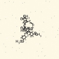 COc1ccc(CN(Cc2ccc(OC)cc2)c2nc3nc4c2[nH]c(=O)n4Cc2cc(c4c(c2)C(=O)N(C)C4)C/C=C/CCO3)cc1